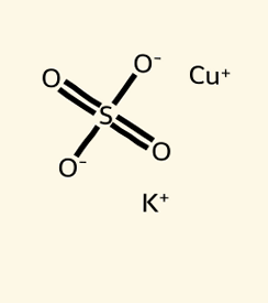 O=S(=O)([O-])[O-].[Cu+].[K+]